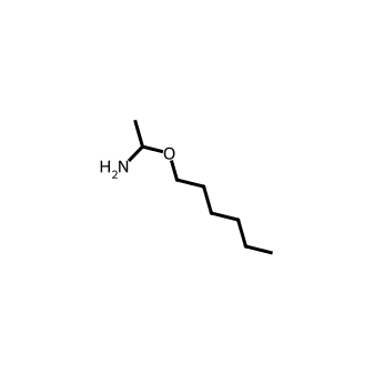 CCCCCCOC(C)N